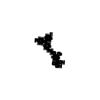 COc1cc(C(O)C(=O)O)ccc1OCCCN1CCC(=C(c2ccc(F)cc2)c2ccc(F)cc2)CC1